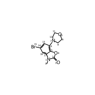 Cn1c(=O)oc2c(N3CCOCC3)cc(Br)cc21